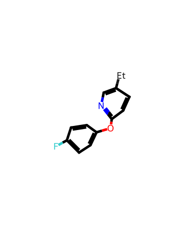 CCc1ccc(Oc2ccc(F)cc2)nc1